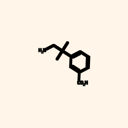 CC(C)(CN)c1cccc(C(=O)O)c1